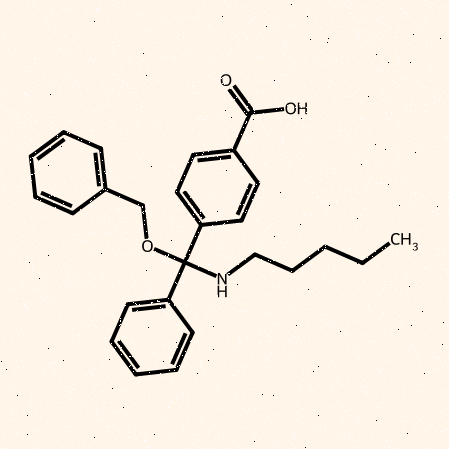 CCCCCNC(OCc1ccccc1)(c1ccccc1)c1ccc(C(=O)O)cc1